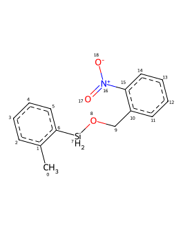 Cc1ccccc1[SiH2]OCc1ccccc1[N+](=O)[O-]